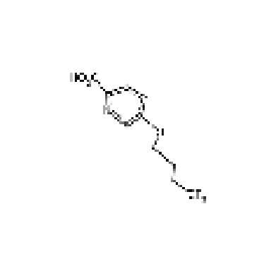 O=C(O)c1ccc(OCCCC(F)(F)F)cn1